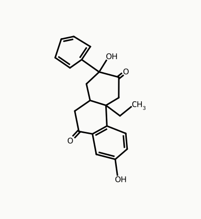 CCC12CC(=O)C(O)(c3ccccc3)CC1CC(=O)c1cc(O)ccc12